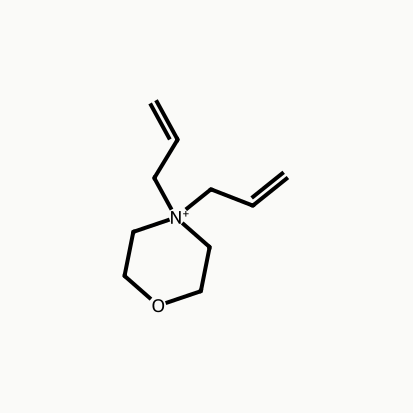 C=CC[N+]1(CC=C)CCOCC1